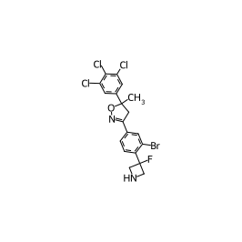 CC1(c2cc(Cl)c(Cl)c(Cl)c2)CC(c2ccc(C3(F)CNC3)c(Br)c2)=NO1